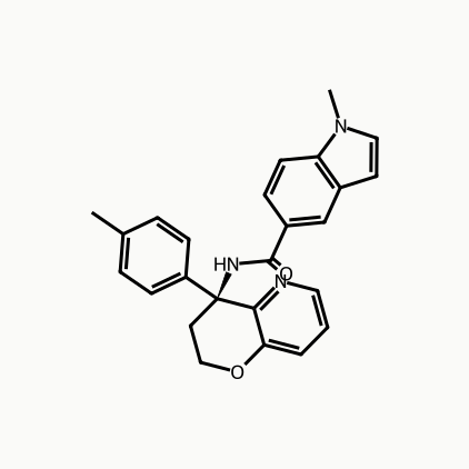 Cc1ccc([C@@]2(NC(=O)c3ccc4c(ccn4C)c3)CCOc3cccnc32)cc1